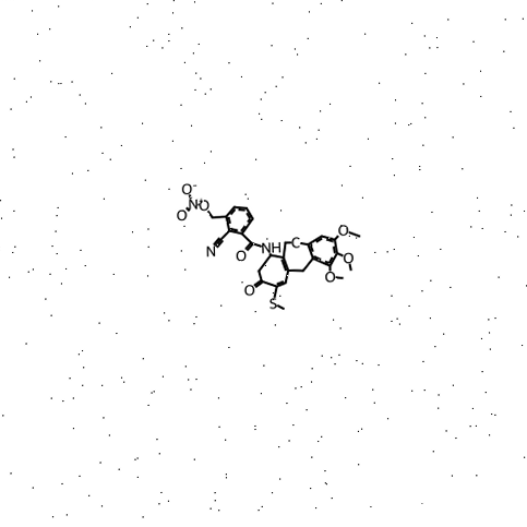 COc1cc2c(c(OC)c1OC)CC1=C(CC2)C(NC(=O)c2cccc(CO[N+](=O)[O-])c2C#N)CC(=O)C(SC)=C1